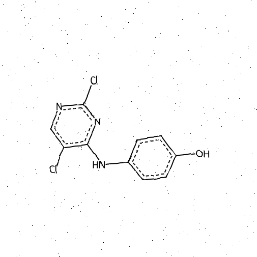 Oc1ccc(Nc2nc(Cl)ncc2Cl)cc1